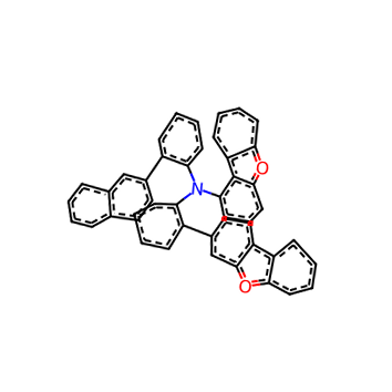 c1ccc(N(c2ccccc2-c2ccc3c(c2)oc2ccccc23)c2cccc3oc4ccccc4c23)c(-c2ccc3ccccc3c2)c1